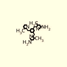 Cc1cccnc1Cc1cc(Cc2ncc(N)cc2C)cc(Cc2ncc(N)cc2C)c1